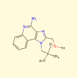 CCOCc1nc2c(N)nc3ccccc3c2n1CC(C)(C)OC(C)=O